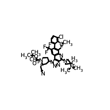 COc1c(Cl)cccc1-c1c(C(F)(F)F)cc2c(nc(N3CC(C)(N(C)C)C3)c3nnn([C@H]4CCN(C(=O)OC(C)(C)C)[C@H](CC#N)C4)c32)c1F